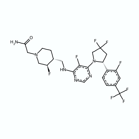 NC(=O)CN1CC[C@H](CNc2ncnc(N3CC(F)(F)C[C@@H]3c3ccc(C(F)(F)F)cc3F)c2F)[C@@H](F)C1